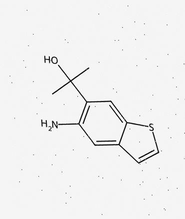 CC(C)(O)c1cc2sccc2cc1N